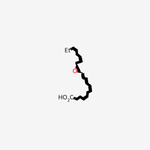 CC/C=C\C/C=C\C[C@@H]1O[C@H]1/C=C/C=C/C=C\C/C=C\CCC(=O)O